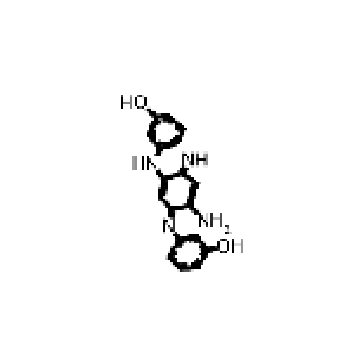 N=C1C=C(N)/C(=N\c2cccc(O)c2)C=C1Nc1cccc(O)c1